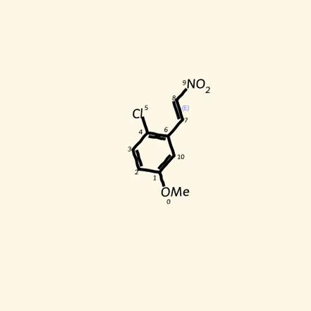 COc1ccc(Cl)c(/C=C/[N+](=O)[O-])c1